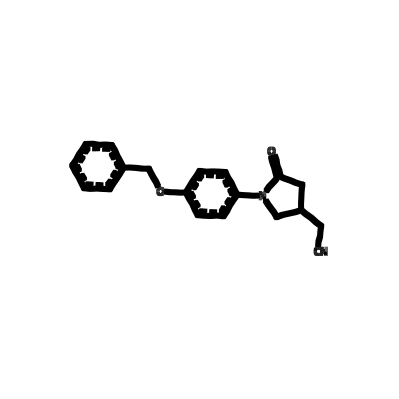 N#CCC1CC(=O)N(c2ccc(OCc3ccccc3)cc2)C1